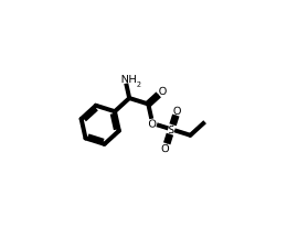 CCS(=O)(=O)OC(=O)C(N)c1ccccc1